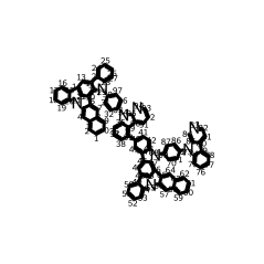 c1ccc2cc3c(cc2c1)c1c2c(cc4c5ccccc5n3c41)c1ccccc1n2-c1ccc(-n2c3cccc(-c4ccc5c(c4)c4cc6c7ccccc7n7c8cc9ccccc9cc8c(c4n5-c4ccc(-n5c8ccccc8c8ccncc85)cc4)c67)c3c3cccnc32)cc1